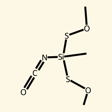 COS[Si](C)(N=C=O)SOC